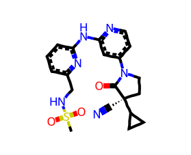 CS(=O)(=O)NCc1cccc(Nc2cc(N3CC[C@@](C#N)(C4CC4)C3=O)ccn2)n1